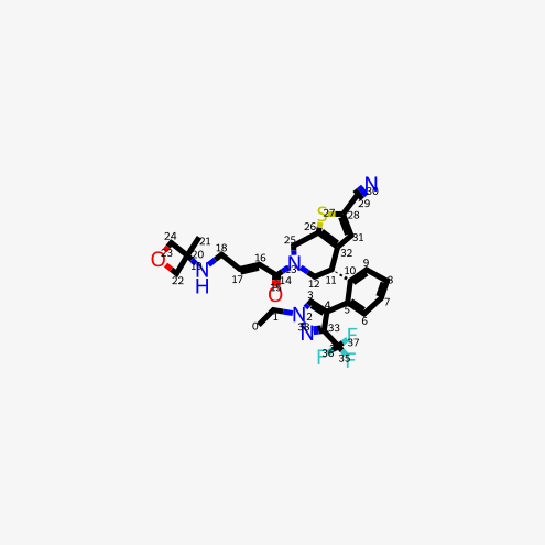 CCn1cc(-c2ccccc2[C@@H]2CN(C(=O)/C=C/CNC3(C)COC3)Cc3sc(C#N)cc32)c(C(F)(F)F)n1